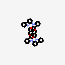 c1ccc2c(c1)c1ccccc1n2-c1cccc2c3ccccc3n(-c3cc4ccc5cc(-n6c7ccccc7c7cccc(-n8c9ccccc9c9ccccc98)c76)cc6ccc(c3)c4c56)c12